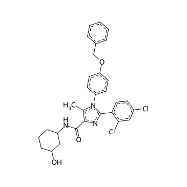 Cc1c(C(=O)NC2CCCC(O)C2)nc(-c2ccc(Cl)cc2Cl)n1-c1ccc(OCc2ccccc2)cc1